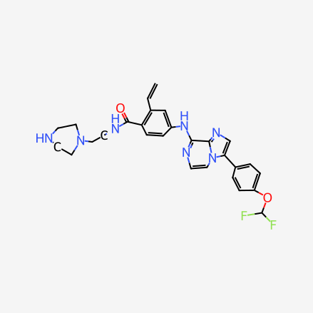 C=Cc1cc(Nc2nccn3c(-c4ccc(OC(F)F)cc4)cnc23)ccc1C(=O)NCCN1CCNCC1